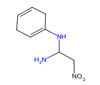 NC(C[N+](=O)[O-])NC1=CCC=CC1